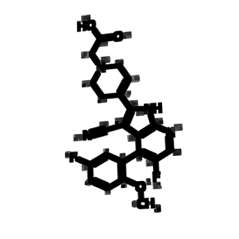 COc1ccc(F)cc1-c1c(F)cnc2[nH]c(C3=CCN(CC(=O)O)CC3)c(C#N)c12